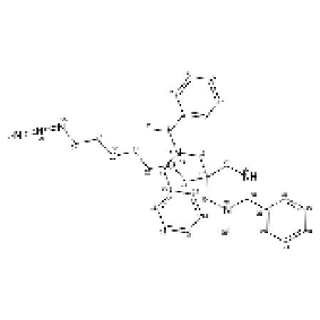 CC(c1ccccc1)N(Cc1ccccc1)CC1(COCCOCCN=[N+]=[N-])CNC(c2ccccc2)N(C)C1